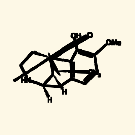 COc1ccc2c(c1O)[C@]13CCN[C@H](C2)[C@@H]1C[C@H](C)C(=O)C3